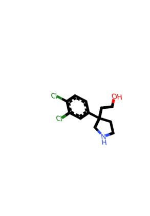 OCCC1(c2ccc(Cl)c(Cl)c2)CCNC1